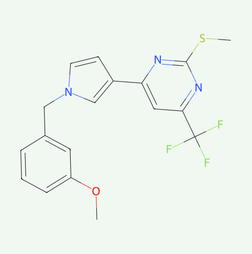 COc1cccc(Cn2ccc(-c3cc(C(F)(F)F)nc(SC)n3)c2)c1